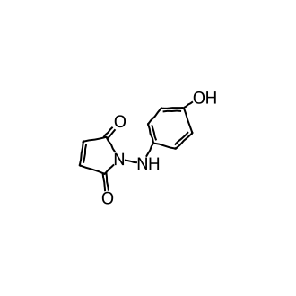 O=C1C=CC(=O)N1Nc1ccc(O)cc1